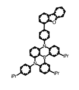 CC(C)c1ccc(N2c3ccc(C(C)C)cc3B3c4cc(C(C)C)ccc4N(c4ccc(-c5cccc6c5oc5ccccc56)cc4)c4cccc2c43)cc1